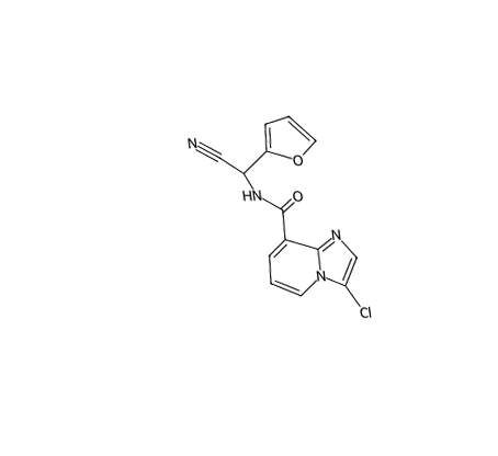 N#CC(NC(=O)c1cccn2c(Cl)cnc12)c1ccco1